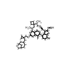 CN(CC1(N(C)C)CCC1)c1nc(OCC2(CC3CCC4COC(C4)C3)CC2)nc2c(F)c(-c3ccc(F)c4sc(N=N)c(C#N)c34)ncc12